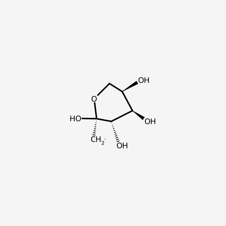 [CH2][C@]1(O)OC[C@@H](O)[C@@H](O)[C@@H]1O